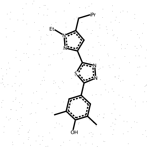 CCn1nc(-c2nnc(-c3cc(C)c(O)c(C)c3)s2)cc1CC(C)C